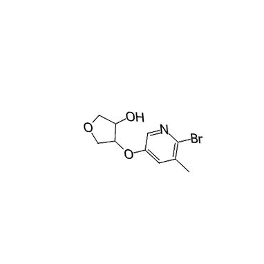 Cc1cc(OC2COCC2O)cnc1Br